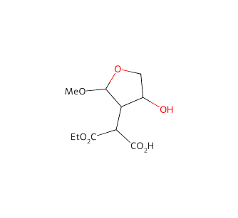 CCOC(=O)C(C(=O)O)C1C(O)COC1OC